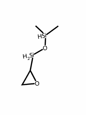 C[SiH](C)O[SiH2]C1CO1